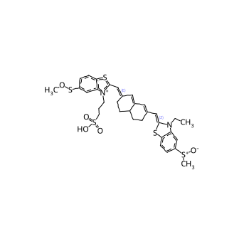 CCN1/C(=C/C2=CC3=C/C(=C/c4sc5ccc(SOC)cc5[n+]4CCCS(=O)(=O)O)CCC3CC2)Sc2ccc([S+](C)[O-])cc21